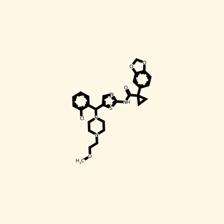 COCCN1CCN(C(c2cnc(NC(=O)C3(c4ccc5c(c4)OCO5)CC3)s2)c2ccccc2Cl)CC1